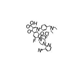 CCN(CC)Cc1ccc(-n2cc(C(=O)O)c(=O)c3cc(F)c(N4CCN(c5ncccc5C#N)CC4)c(OC(F)(F)Cl)c32)cc1